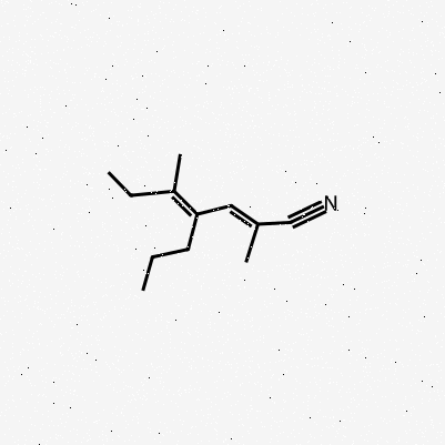 CCCC(/C=C(\C)C#N)=C(/C)CC